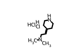 CN(C)CC=C1CCNCC1.Cl.Cl